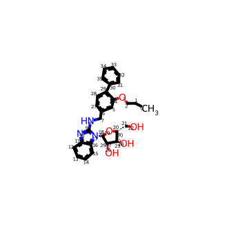 CCCOc1cc(CNc2nc3ccccc3n2[C@@H]2O[C@H](CO)[C@@H](O)[C@H]2O)ccc1-c1ccccc1